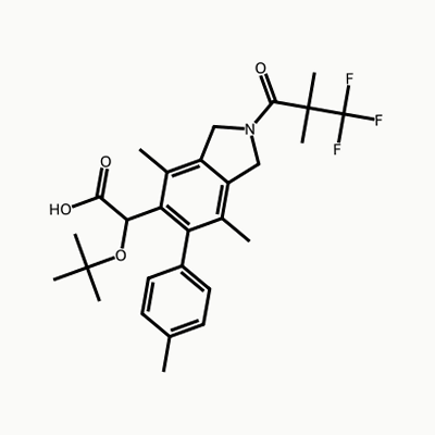 Cc1ccc(-c2c(C)c3c(c(C)c2C(OC(C)(C)C)C(=O)O)CN(C(=O)C(C)(C)C(F)(F)F)C3)cc1